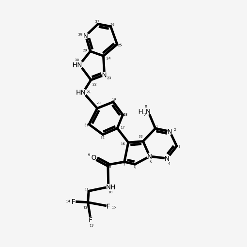 Nc1ncnn2cc(C(=O)NCC(F)(F)F)c(-c3ccc(Nc4nc5cccnc5[nH]4)cc3)c12